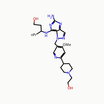 CCCC(CCO)Nc1nc(N)nc2cnn(Cc3cnc(C4CCN(CCO)CC4)cc3OC)c12